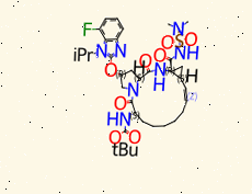 CC(C)n1c(O[C@@H]2C[C@H]3C(=O)N[C@]4(C(=O)NS(=O)(=O)N(C)C)C[C@H]4/C=C\CCCCC[C@H](NC(=O)OC(C)(C)C)C(=O)N3C2)nc2cccc(F)c21